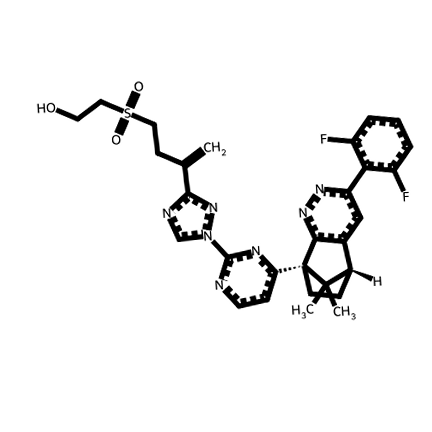 C=C(CCS(=O)(=O)CCO)c1ncn(-c2nccc([C@]34CC[C@@H](c5cc(-c6c(F)cccc6F)nnc53)C4(C)C)n2)n1